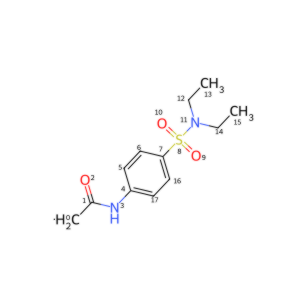 [CH2]C(=O)Nc1ccc(S(=O)(=O)N(CC)CC)cc1